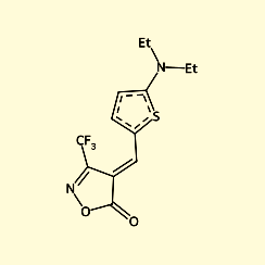 CCN(CC)c1ccc(C=C2C(=O)ON=C2C(F)(F)F)s1